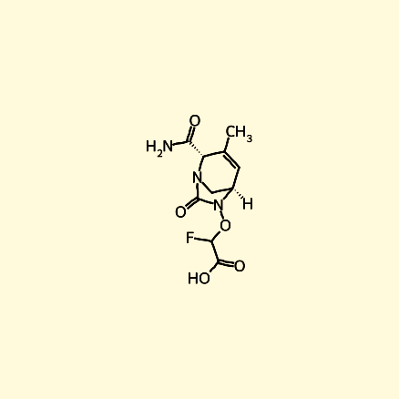 CC1=C[C@@H]2CN(C(=O)N2OC(F)C(=O)O)[C@@H]1C(N)=O